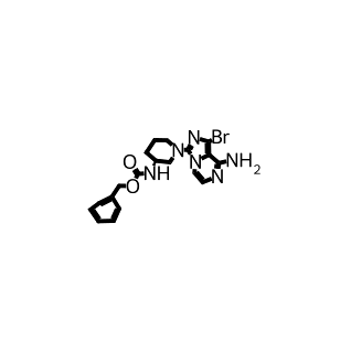 Nc1nccn2c(N3CCC[C@H](NC(=O)OCc4ccccc4)C3)nc(Br)c12